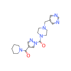 O=C(c1cnn(C(=O)N2CCN(Cc3cncnc3)CC2)c1)N1CCCCC1